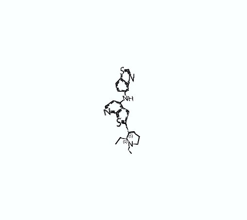 CC[C@H]1[C@@H](c2cc3c(Nc4ccc5scnc5c4)ccnc3s2)CCCN1CC